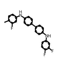 Cc1ccc(Nc2ccc(-c3ccc(Nc4ccc(F)c(F)c4)cc3)cc2)cc1F